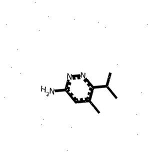 Cc1cc(N)nnc1C(C)C